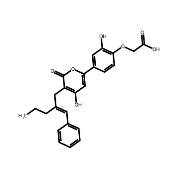 CCC/C(=C\c1ccccc1)Cc1c(O)cc(-c2ccc(OCC(=O)O)c(O)c2)oc1=O